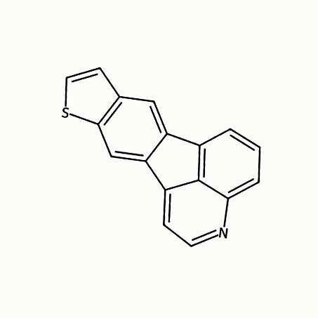 c1cc2c3c(ccnc3c1)-c1cc3sccc3cc1-2